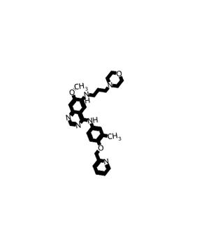 COc1cc2ncnc(Nc3ccc(OCc4ccccn4)c(C)c3)c2cc1NCCCN1CCOCC1